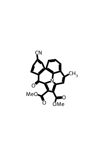 COC(=O)c1c(C(=O)OC)c2cc(C)c3ccccc3n2c1C(=O)c1ccc(C#N)cc1